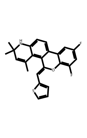 CC1=CC(C)(C)Nc2ccc3c(c21)C(=Cc1cccs1)Oc1c(F)cc(F)cc1-3